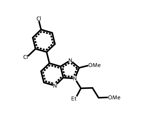 CCC(CCOC)n1c(OC)nc2c(-c3ccc(Cl)cc3Cl)ccnc21